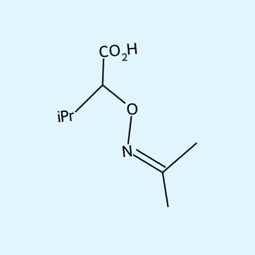 CC(C)=NOC(C(=O)O)C(C)C